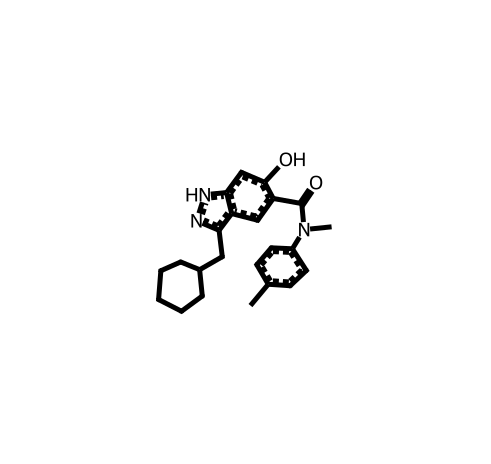 Cc1ccc(N(C)C(=O)c2cc3c(CC4CCCCC4)n[nH]c3cc2O)cc1